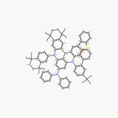 CC(C)(C)c1ccc(N2c3cc4sc5ccccc5c4cc3B3c4cc5c(cc4N(c4ccc6c(c4)C(C)(C)CCC6(C)C)c4cc(N(c6ccccc6)c6ccccc6)cc2c43)C(C)(C)CCC5(C)C)c(-c2ccccc2)c1